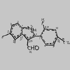 Cc1ccc2[nH]c(-c3ccc(F)cc3F)c(C=O)c2c1